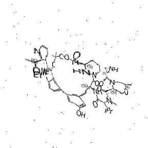 CCn1c(-c2cccnc2[C@H](C)OC)c2c3cc(ccc31)-c1cc(O)cc(c1)C[C@H](NC(=O)C(C(C)C)N(C)C(=O)[C@@H]1CO[C@H](C)CN1C(=O)[C@@H]1CN1)C(=O)N1CCC[C@H](N1)C(=O)OCC(C)(C)C2